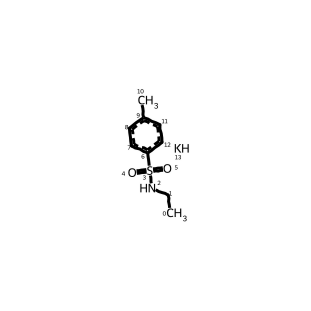 CCNS(=O)(=O)c1ccc(C)cc1.[KH]